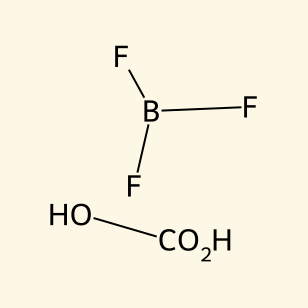 FB(F)F.O=C(O)O